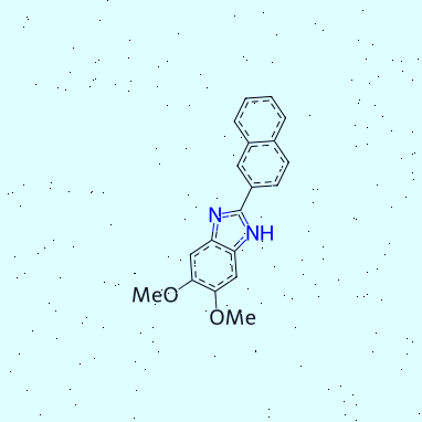 COc1cc2nc(-c3ccc4ccccc4c3)[nH]c2cc1OC